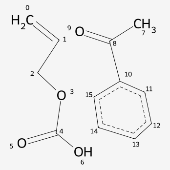 C=CCOC(=O)O.CC(=O)c1ccccc1